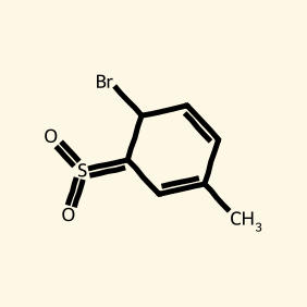 CC1=CC(=S(=O)=O)C(Br)C=C1